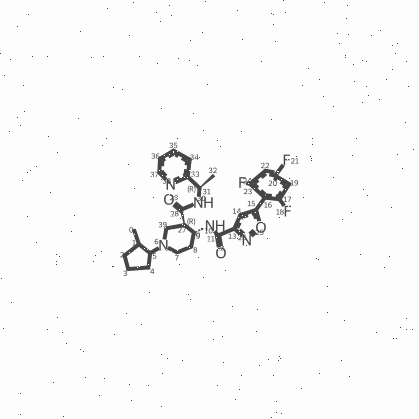 CC1CCCC1N1CC[C@@H](NC(=O)c2cc(-c3c(F)cc(F)cc3F)on2)[C@H](C(=O)N[C@H](C)c2ccccn2)C1